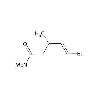 CC/C=C/C(C)CC(=O)NC